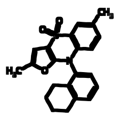 Cc1ccc2c(c1)S(=O)(=O)c1cc(C)oc1N2c1cccc2c1CCCC2